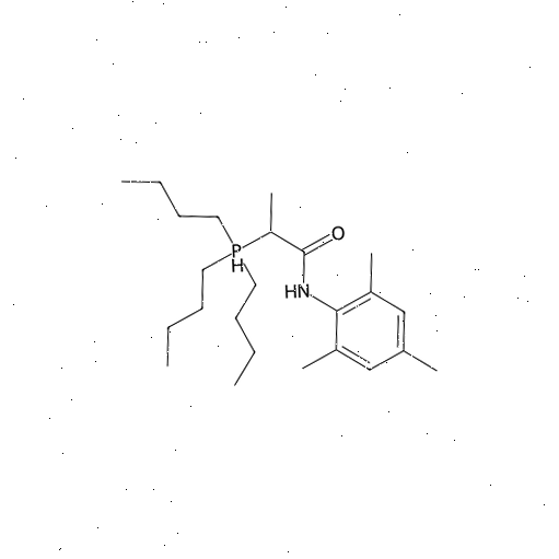 CCCC[PH](CCCC)(CCCC)C(C)C(=O)Nc1c(C)cc(C)cc1C